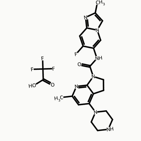 Cc1cc(N2CCNCC2)c2c(n1)N(C(=O)Nc1cn3cc(C)nc3cc1F)CC2.O=C(O)C(F)(F)F